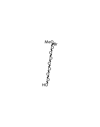 COC(Br)COCCOCCOCCOCCOCCOCCOCCO